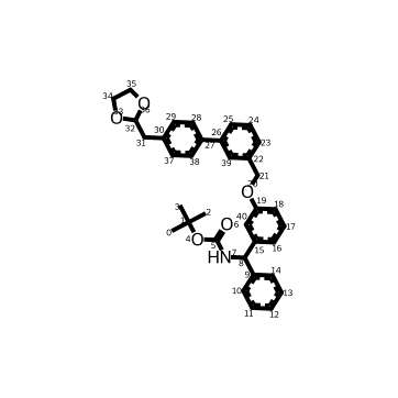 CC(C)(C)OC(=O)NC(c1ccccc1)c1cccc(OCc2cccc(-c3ccc(CC4OCCO4)cc3)c2)c1